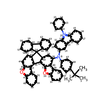 CC(C)(C)c1ccc(N(c2ccc3c(c2)c2ccccc2n3-c2ccccc2)c2cc3c(c4oc5ccccc5c24)-c2c(ccc4oc5ccccc5c24)C32c3ccccc3-c3ccccc32)cc1